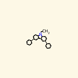 C=Cn1c2ccc(-c3ccccc3)cc2c2cc(-c3ccccc3)ccc21